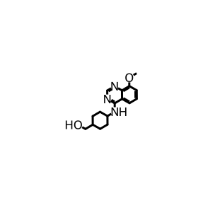 COc1cccc2c(NC3CCC(CO)CC3)ncnc12